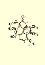 COc1ccc(C(=O)O)c(-c2c(C(C)=O)cc(Cl)c(OC)c2OC)c1OC